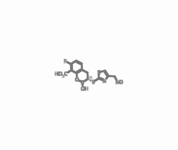 O=NCc1csc(S[C@H]2Cc3ccc(F)c(C(=O)O)c3OB2O)n1